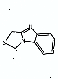 c1ccc2c(c1)nc1n2CSC1